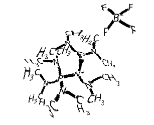 CN(C)[N+](P(N(C)C)N(C)C)=P(N(C)C)(N(C)C)N(C)C.F[B-](F)(F)F